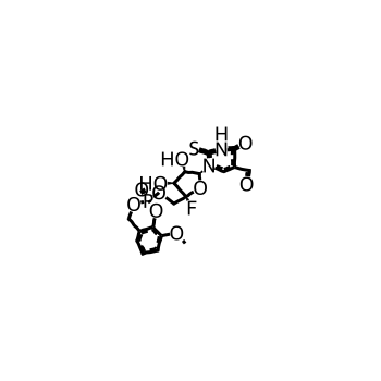 COc1cccc2c1OP(=O)(OC[C@@]1(F)O[C@@H](n3cc(C=O)c(=O)[nH]c3=S)[C@H](O)[C@@H]1O)OC2